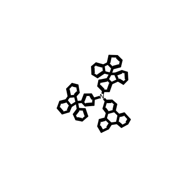 c1ccc(C2(c3ccc(N(c4ccc5c(c4)-c4ccccc4C54c5ccccc5-c5ccccc54)c4ccc5c6ccccc6c6ccccc6c5c4)cc3)c3ccccc3-c3ccccc32)cc1